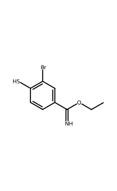 CCOC(=N)c1ccc(S)c(Br)c1